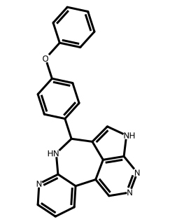 c1ccc(Oc2ccc(C3Nc4ncccc4-c4cnnc5[nH]cc3c45)cc2)cc1